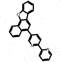 c1ccc(-c2ccc(-c3cc4c5ccccc5oc4c4ccccc34)cn2)nc1